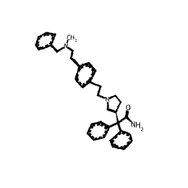 CN(CCc1ccc(CCN2CC[C@@H](C(C(N)=O)(c3ccccc3)c3ccccc3)C2)cc1)Cc1ccccc1